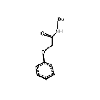 CCC(C)NC(=O)COc1cc[c]cc1